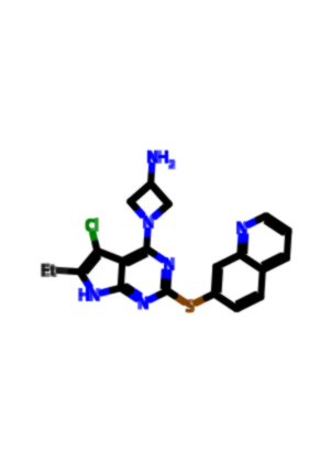 CCc1[nH]c2nc(Sc3ccc4cccnc4c3)nc(N3CC(N)C3)c2c1Cl